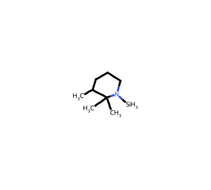 CC1CCCN([SiH3])C1(C)C